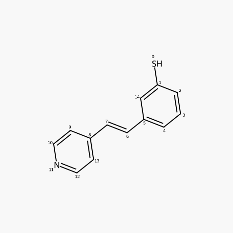 Sc1cccc(/C=C/c2ccncc2)c1